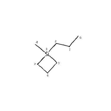 CCC[Si]1(C)CCC1